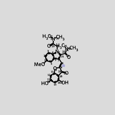 COc1ccc2c(c1)c(/C=C1\Oc3cc(O)cc(O)c3C1=O)c(C(=O)N(C)C)n2CC(=O)N(C)C